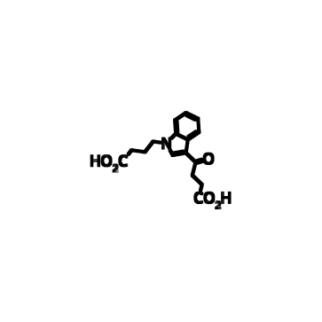 O=C(O)CCCn1cc(C(=O)CCC(=O)O)c2ccccc21